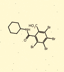 O=C(O)c1c(Br)c(Br)c(Br)c(Br)c1C(=O)NC1CCCCC1